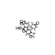 COc1ccc(-c2cccc(Cl)c2)c(-c2ccc3c(c2)CCO3)c1C(=O)O